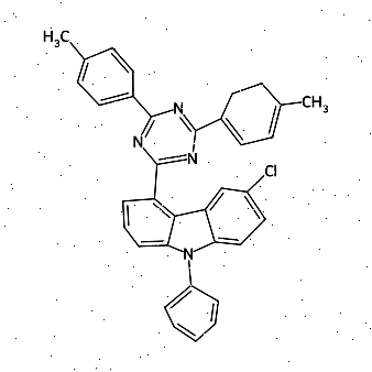 CC1=CC=C(c2nc(-c3ccc(C)cc3)nc(-c3cccc4c3c3cc(Cl)ccc3n4-c3ccccc3)n2)CC1